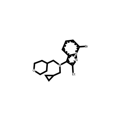 CCc1nn2c(Br)cccc2c1N(CC1CCOCC1)CC1CC1